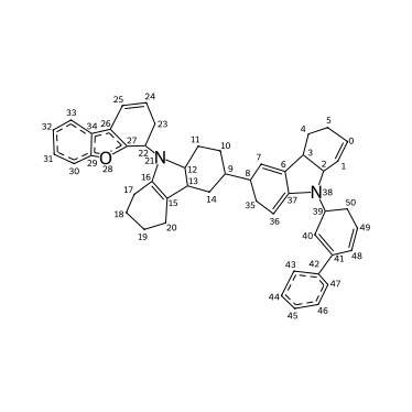 C1=CC2C(CC1)C1=CC(C3CCC4C(C3)C3=C(CCCC3)N4C3CC=Cc4c3oc3ccccc43)CC=C1N2C1C=C(c2ccccc2)C=CC1